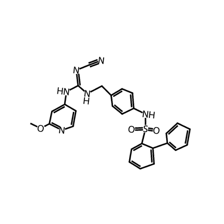 COc1cc(N/C(=N/C#N)NCc2ccc(NS(=O)(=O)c3ccccc3-c3ccccc3)cc2)ccn1